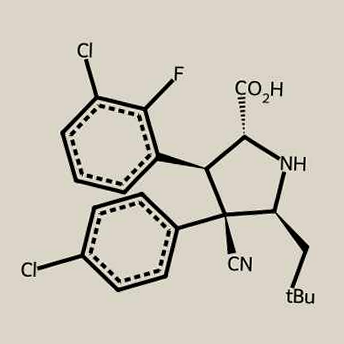 CC(C)(C)C[C@@H]1N[C@@H](C(=O)O)[C@H](c2cccc(Cl)c2F)[C@@]1(C#N)c1ccc(Cl)cc1